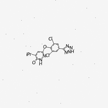 CC(C)c1cc(Oc2c(Cl)cc(-c3nn[nH]n3)cc2Cl)n[nH]c1=O